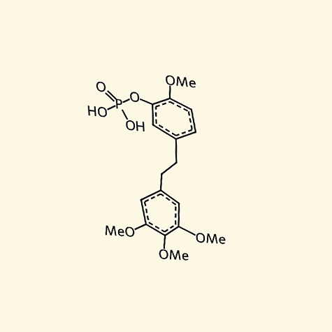 COc1ccc(CCc2cc(OC)c(OC)c(OC)c2)cc1OP(=O)(O)O